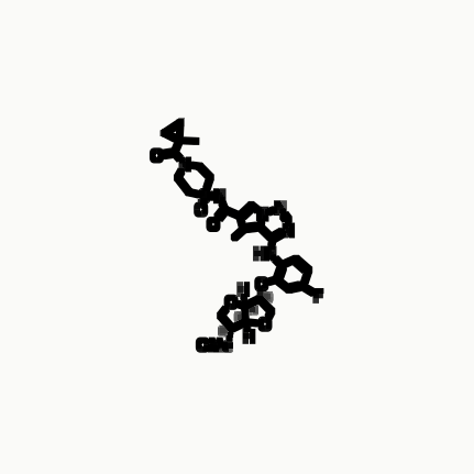 CO[C@@H]1CO[C@H]2[C@@H]1OC[C@H]2Oc1cc(F)ccc1Nc1ncnn2cc(C(=O)N=S3(=O)CCN(C(=O)C4(C)CC4)CC3)c(C)c12